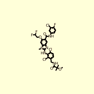 COC(C)(C)C(=O)NCc1ccc(Cl)c(Nc2nc3cc(C(=O)Nc4ccc(F)c(Cl)c4)c(OCC(F)F)cc3n2C)c1Cl